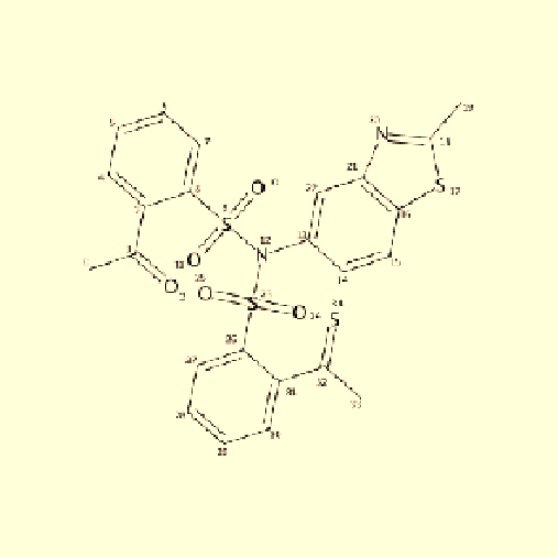 CC(=O)c1ccccc1S(=O)(=O)N(c1ccc2sc(C)nc2c1)S(=O)(=O)c1ccccc1C(C)=S